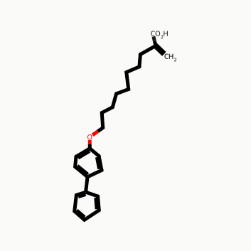 C=C(CCCCCCCCOc1ccc(-c2ccccc2)cc1)C(=O)O